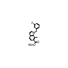 COC(=O)c1ccc2ccn(Cc3cccc(F)c3)c2c1C